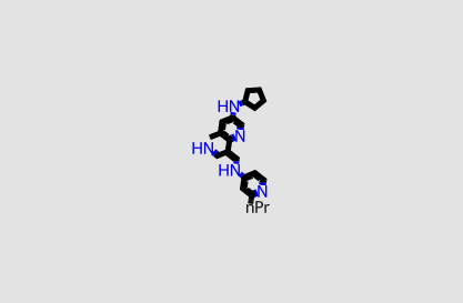 CCCc1cc(N/C=C(\C=N)c2ncc(NC3CCCC3)cc2C)ccn1